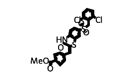 COC(=O)c1ccc(C=C2Sc3cc(S(=O)(=O)Cc4c(Cl)cccc4Cl)ccc3NC2=O)cc1